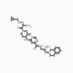 C/C(=N/OCC1CC1)C(=O)N1CCC(Nc2cc(C(=O)NC[C@H](O)CN3CCc4ccccc4C3)ncn2)C(F)C1